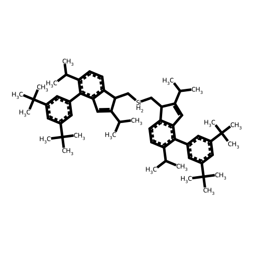 CC(C)C1=Cc2c(ccc(C(C)C)c2-c2cc(C(C)(C)C)cc(C(C)(C)C)c2)C1C[SiH2]CC1C(C(C)C)=Cc2c1ccc(C(C)C)c2-c1cc(C(C)(C)C)cc(C(C)(C)C)c1